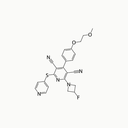 COCCOc1ccc(-c2c(C#N)c(Sc3ccncc3)nc(N3CC(F)C3)c2C#N)cc1